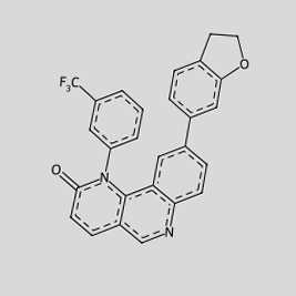 O=c1ccc2cnc3ccc(-c4ccc5c(c4)OCC5)cc3c2n1-c1cccc(C(F)(F)F)c1